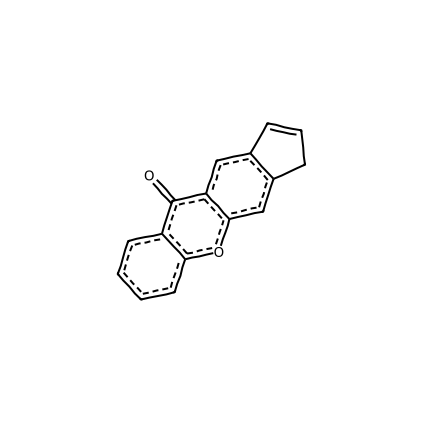 O=c1c2ccccc2oc2cc3c(cc12)C=CC3